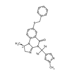 [2H]C([2H])(c1cnn(C)c1)N1C(=O)c2cc(SCc3ccccc3)ccc2N2C1=NC[C@H]2C